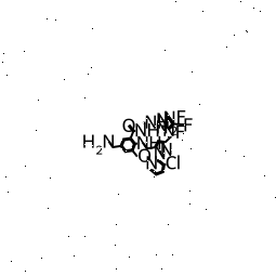 Cc1cc(CN)cc(C(=O)NCN)c1NC(=O)c1cc(Cn2nnnc2C(F)(F)F)nn1-c1ncccc1Cl